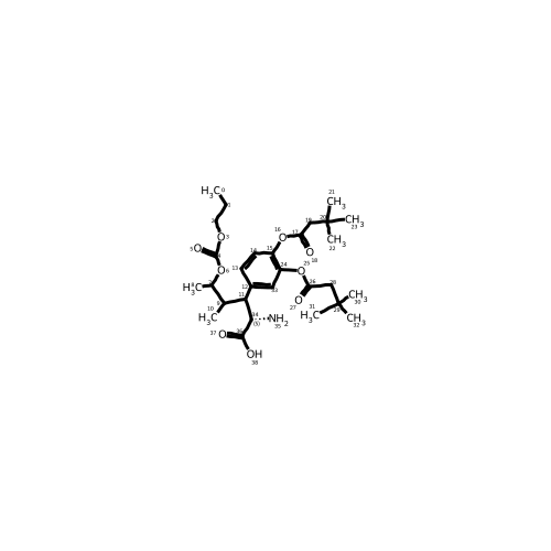 CCCOC(=O)OC(C)C(C)C(c1ccc(OC(=O)CC(C)(C)C)c(OC(=O)CC(C)(C)C)c1)[C@H](N)C(=O)O